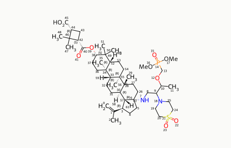 C=C(C)[C@@H]1CC[C@]2(NCC(C(C)OCP(=O)(OC)OC)N3CCS(=O)(=O)CC3)CC[C@]3(C)[C@H](CC[C@@H]4[C@@]5(C)CC[C@H](OC(=O)[C@H]6C[C@@H](C(=O)O)C6(C)C)C(C)(C)[C@@H]5CC[C@]43C)[C@@H]12